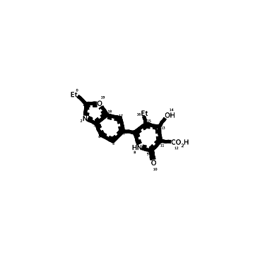 CCc1nc2ccc(-c3[nH]c(=O)c(C(=O)O)c(O)c3CC)cc2o1